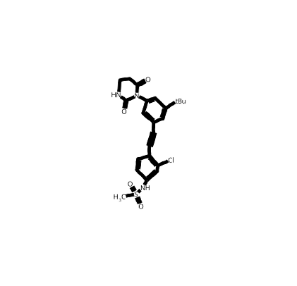 CC(C)(C)c1cc(C#Cc2ccc(NS(C)(=O)=O)cc2Cl)cc(N2C(=O)CCNC2=O)c1